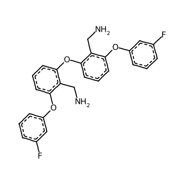 NCc1c(Oc2cccc(F)c2)cccc1Oc1cccc(Oc2cccc(F)c2)c1CN